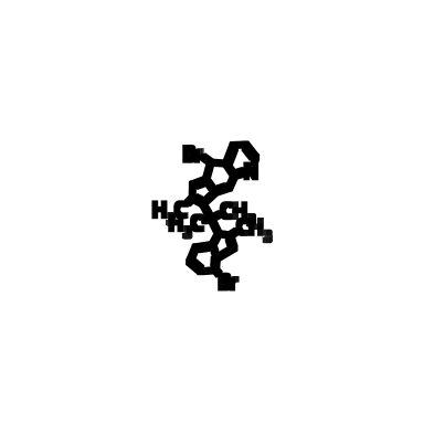 CC1=Cc2c(Br)cccc2C1C(C)(C)C1=C(C)C=C2C1=Cc1ncccc1C2Br